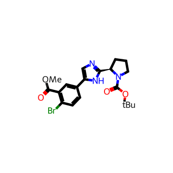 COC(=O)c1cc(-c2cnc([C@H]3CCCN3C(=O)OC(C)(C)C)[nH]2)ccc1Br